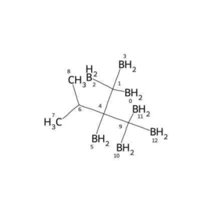 BC(B)(B)C(B)(C(C)C)C(B)(B)B